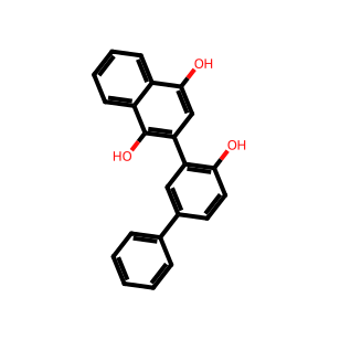 Oc1ccc(-c2ccccc2)cc1-c1cc(O)c2ccccc2c1O